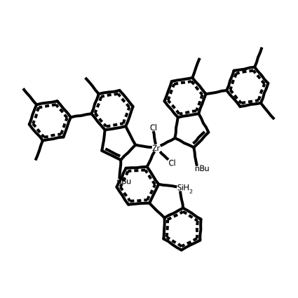 CCCCC1=Cc2c(ccc(C)c2-c2cc(C)cc(C)c2)[CH]1[Zr]([Cl])([Cl])([c]1cccc2c1[SiH2]c1ccccc1-2)[CH]1C(CCCC)=Cc2c1ccc(C)c2-c1cc(C)cc(C)c1